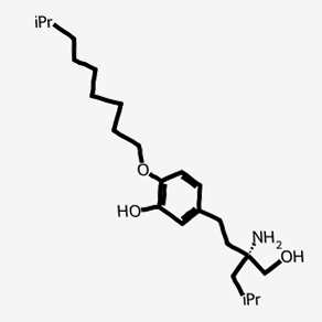 CC(C)CCCCCCCOc1ccc(CC[C@@](N)(CO)CC(C)C)cc1O